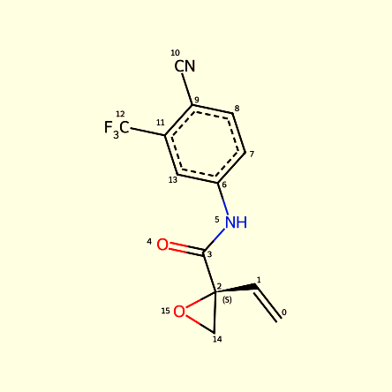 C=C[C@@]1(C(=O)Nc2ccc(C#N)c(C(F)(F)F)c2)CO1